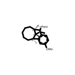 CCCCCN(C)[C@H]1[C@H]2CCCCC[C@]1(C)c1cc(OC)ccc1C2